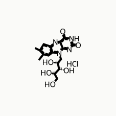 Cc1cc2nc3c(=O)[nH]c(=O)nc-3n(C[C@H](O)[C@H](O)[C@H](O)CO)c2cc1C.Cl